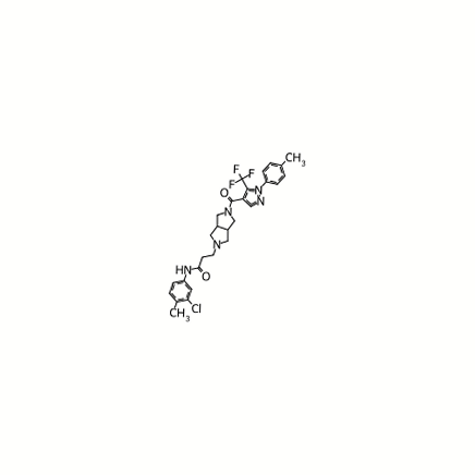 Cc1ccc(-n2ncc(C(=O)N3CC4CN(CCC(=O)Nc5ccc(C)c(Cl)c5)CC4C3)c2C(F)(F)F)cc1